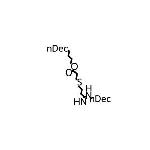 CCCCCCCCCCCCCCOC(=O)CCSCCCC(=N)NCCCCCCCCCC